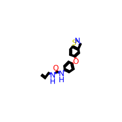 C=CCNC(=O)Nc1ccc(Oc2ccc3sncc3c2)cc1